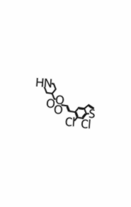 O=C(C=Cc1cc2ccsc2c(Cl)c1Cl)OC(=O)C1CCNCC1